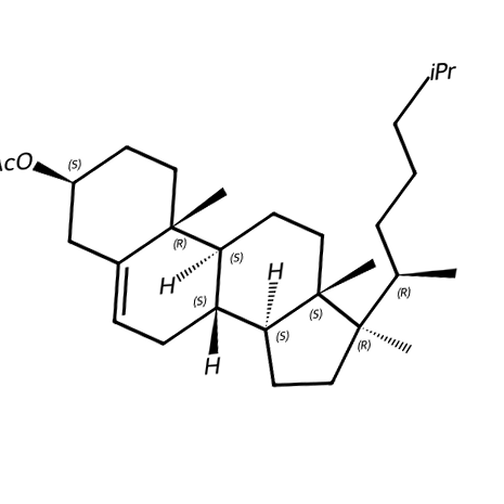 CC(=O)O[C@H]1CC[C@@]2(C)C(=CC[C@@H]3[C@@H]2CC[C@@]2(C)[C@H]3CC[C@]2(C)[C@H](C)CCCC(C)C)C1